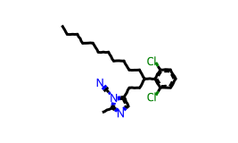 CCCCCCCCCCCC(CCc1cnc(C)n1C#N)c1c(Cl)cccc1Cl